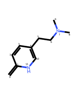 C=C1C=CC(CCN(C)C)=CN1